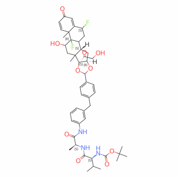 CC(C)[C@H](NC(=O)OC(C)(C)C)C(=O)N[C@@H](C)C(=O)Nc1cccc(Cc2ccc(C3O[C@@H]4C[C@H]5C6C[C@H](F)C7=CC(=O)C=CC7(C)[C@@]6(F)C(O)CC5(C)[C@]4(C(=O)CO)O3)cc2)c1